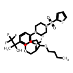 CCCCOC1CC2COCC1N2C[C@H]1CN(S(=O)(=O)c2cccs2)CCN1c1ccc(C(C)(O)C(F)(F)F)cc1